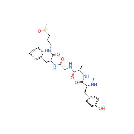 CN[C@@H](Cc1ccc(O)cc1)C(=O)N[C@H](C)C(=O)NCC(=O)N[C@@H](Cc1ccccc1)C(=O)NCCC[S+](C)[O-]